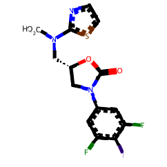 O=C1O[C@@H](CN(C(=O)O)c2nccs2)CN1c1cc(F)c(I)c(F)c1